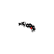 Cc1nc(C(C)C)sc1C(=O)N(C)[C@H]1CC[C@@]2(C)C(=CC[C@H]3C4CC[C@]56C[C@@H]5N(C)C[C@]46CCC32)C1